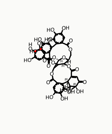 O=C1O[C@@H]2C3COC(=O)c4cc(O)c(O)c(O)c4-c4c(cc(O)c(O)c4O)C(=O)OC2C(OC(=O)c2cc(O)c(O)c4c2[C@@H]2C1=CC(=O)[C@](O)(O4)C2(O)O)[C@H](OC(=O)c1cc(O)c(O)c(O)c1)O3